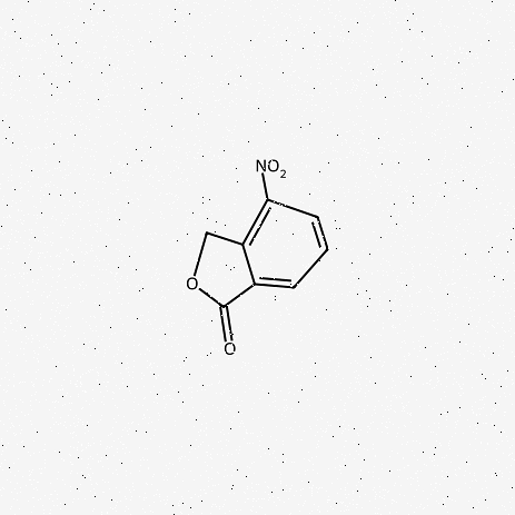 O=C1OCc2c1cccc2[N+](=O)[O-]